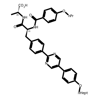 CCCCCCCOc1ccc(-c2cnc(-c3ccc(C[C@H](NC(=O)c4ccc(OCCC)cc4)C(=O)N[C@H](C)C(=O)O)cc3)nc2)cc1